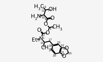 CCN(C(=O)OC(C)OC(=O)C(N)C(C)O)C(C)Cc1ccc2c(c1)OCO2